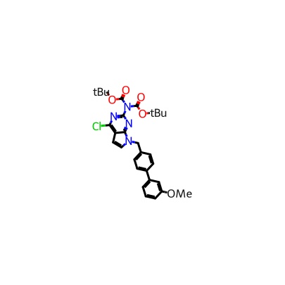 COc1cccc(-c2ccc(Cn3ccc4c(Cl)nc(N(C(=O)OC(C)(C)C)C(=O)OC(C)(C)C)nc43)cc2)c1